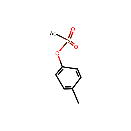 CC(=O)S(=O)(=O)Oc1ccc(C)cc1